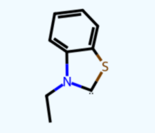 CCN1[C]Sc2ccccc21